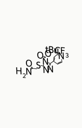 CC(C)(C)OC(=O)n1c(SCC(N)=O)nnc1-c1ccnc(C(F)(F)F)c1